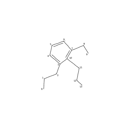 CCCc1cc[c]c(CC)c1CCC